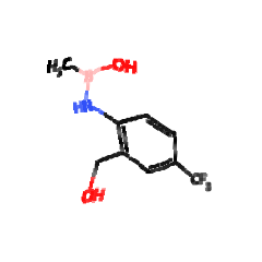 CB(O)Nc1ccc(C(F)(F)F)cc1CO